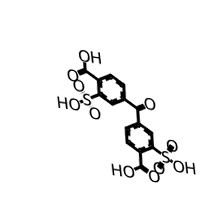 O=C(c1ccc(C(=O)O)c(S(=O)(=O)O)c1)c1ccc(C(=O)O)c(S(=O)(=O)O)c1